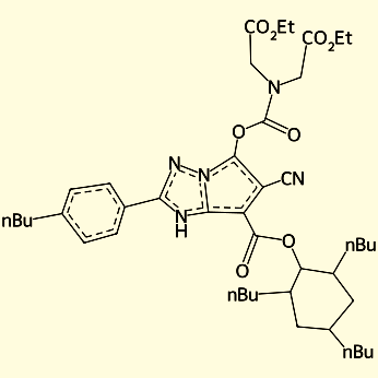 CCCCc1ccc(-c2nn3c(OC(=O)N(CC(=O)OCC)CC(=O)OCC)c(C#N)c(C(=O)OC4C(CCCC)CC(CCCC)CC4CCCC)c3[nH]2)cc1